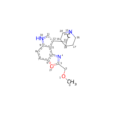 COCc1nc2c(ccc3[nH]cc(C4CN5CCC4CC5)c32)o1